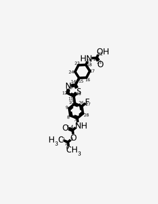 CC(C)OC(=O)Nc1ccc(-c2cnc(C3CCC(NC(=O)O)CC3)s2)c(F)c1